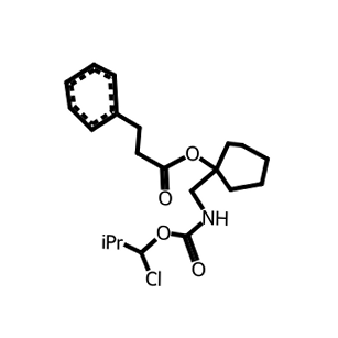 CC(C)C(Cl)OC(=O)NCC1(OC(=O)CCc2ccccc2)CCCCC1